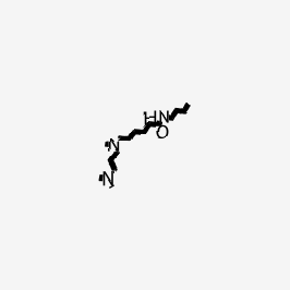 CCCCNC(=O)CCCCCN(C)CCCN(C)C